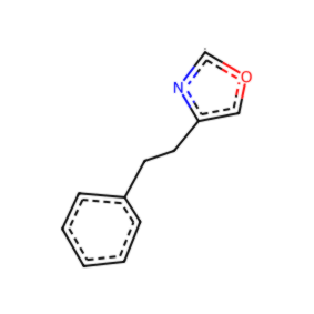 [c]1nc(CCc2ccccc2)co1